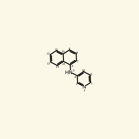 c1cncc(Nc2cccc3ccccc23)c1